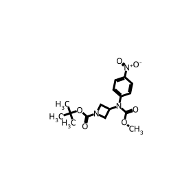 COC(=O)N(c1ccc([N+](=O)[O-])cc1)C1CN(C(=O)OC(C)(C)C)C1